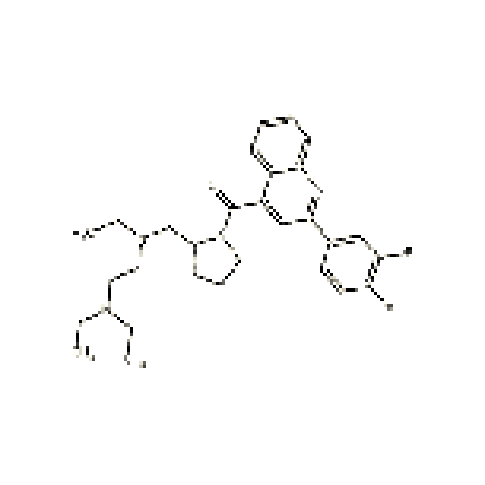 CCN(CC)CCN(CC)CC1CCCN1C(=O)c1cc(-c2ccc(F)c(F)c2)nc2ccccc12